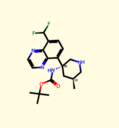 C[C@@H]1CNC[C@](NC(=O)OC(C)(C)C)(c2ccc(C(F)F)c3nccnc23)C1